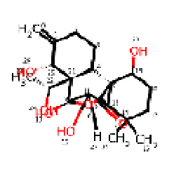 C=C1CCC2[C@@]34C(=O)O[C@@](O)([C@@H](O)C3C(C)(C)CC[C@@H]4O)[C@]2([C@@H](C)O)[C@@H]1O